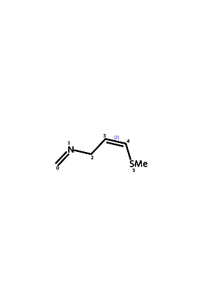 C=NC/C=C\SC